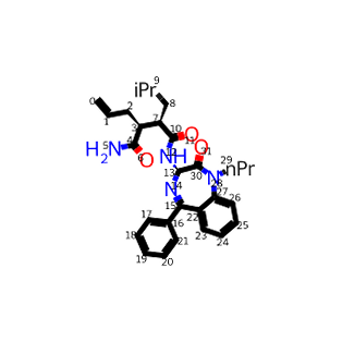 C=CC[C@H](C(N)=O)[C@@H](CC(C)C)C(=O)N[C@H]1N=C(c2ccccc2)c2ccccc2N(CCC)C1=O